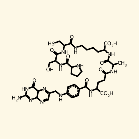 CC(NC(=O)CCC(NC(=O)c1ccc(NCC2=NC3C(=O)NC(N)=NC3N=C2)cc1)C(=O)O)C(=O)NC(CCCCNC(=O)C(CS)NC(=O)C(CO)NC(=O)C1CCCN1)C(=O)O